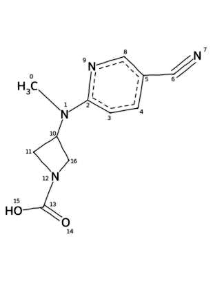 CN(c1ccc(C#N)cn1)C1CN(C(=O)O)C1